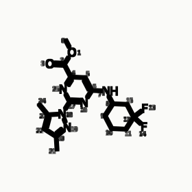 COC(=O)c1cc(NC2CCCC(F)(F)C2)nc(-n2nc(C)cc2C)n1